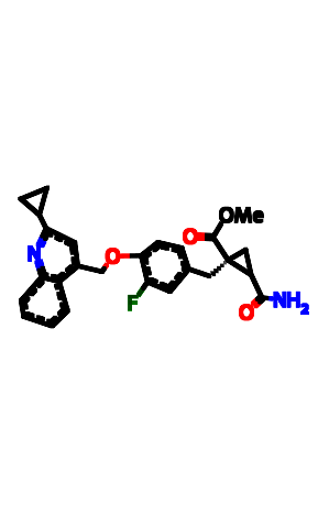 COC(=O)[C@@]1(Cc2ccc(OCc3cc(C4CC4)nc4ccccc34)c(F)c2)CC1C(N)=O